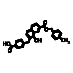 Cc1ccc(COC(=O)c2ccc3ccc(Cc4ccc(C(=O)O)cc4)c(O)c3c2)cc1